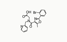 Cc1oc(-c2ccccc2Br)nc1C(=O)N(CC(=O)O)Cc1ccccn1